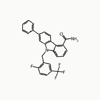 NC(=O)c1cccc2c1c1[c]cc(-c3ccccc3)cc1n2Cc1cc(C(F)(F)F)ccc1F